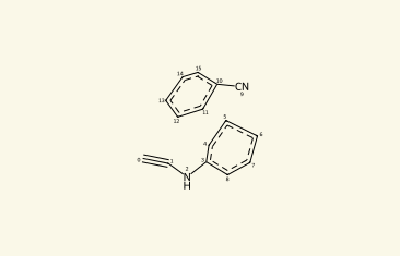 C#CNc1ccccc1.N#Cc1ccccc1